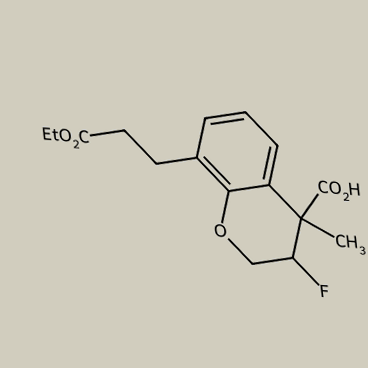 CCOC(=O)CCc1cccc2c1OCC(F)C2(C)C(=O)O